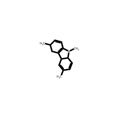 CC1=CC2C3=C(C=CC(C)C3)N(C)C2C=C1